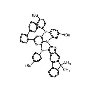 CC(C)(C)c1ccc(N2c3ccc(C(C)(C)C)cc3B3c4sc5cc6c(cc5c4N(c4ccc(C(C)(C)C)cc4)c4cc(-c5ccccc5-c5ccccc5)cc2c43)-c2ccccc2C6(C)C)cc1